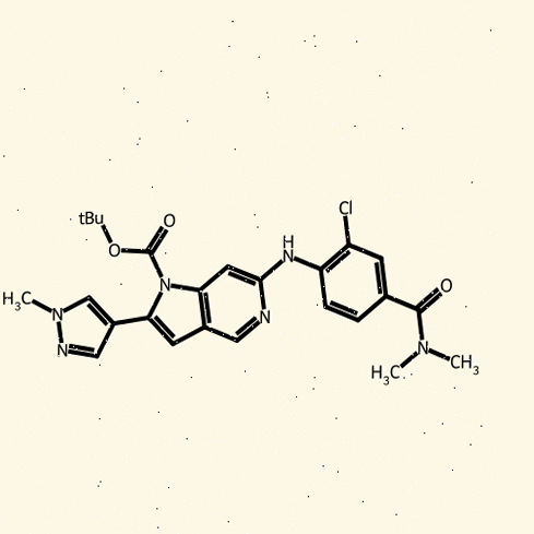 CN(C)C(=O)c1ccc(Nc2cc3c(cn2)cc(-c2cnn(C)c2)n3C(=O)OC(C)(C)C)c(Cl)c1